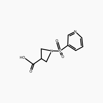 O=C(O)C1CN(S(=O)(=O)c2cccnc2)C1